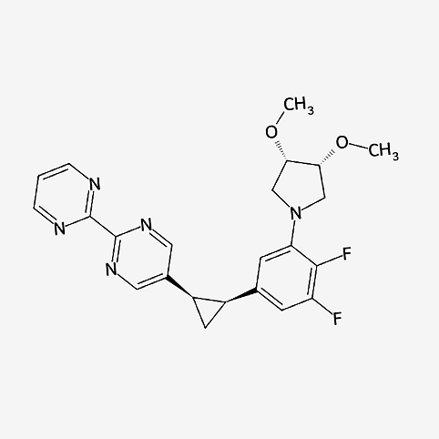 CO[C@H]1CN(c2cc([C@H]3C[C@H]3c3cnc(-c4ncccn4)nc3)cc(F)c2F)C[C@H]1OC